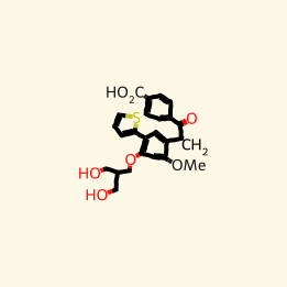 C=C(C(=O)c1ccc(C(=O)O)cc1)c1cc(-c2cccs2)c(OCC(CO)CO)cc1OC